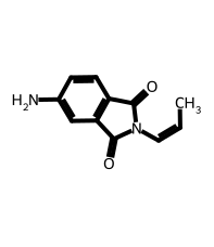 C/C=C\N1C(=O)c2ccc(N)cc2C1=O